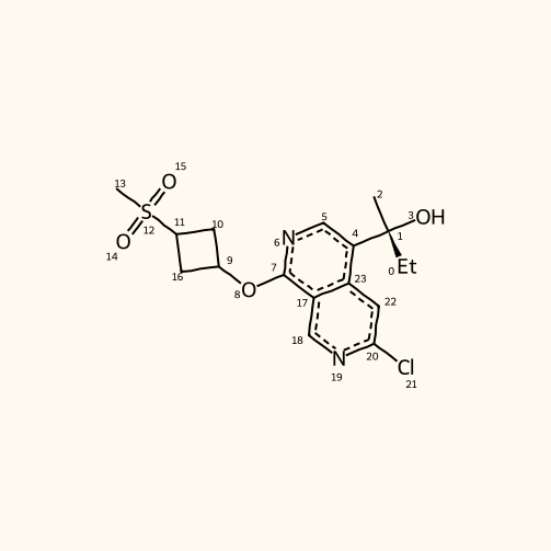 CC[C@@](C)(O)c1cnc(OC2CC(S(C)(=O)=O)C2)c2cnc(Cl)cc12